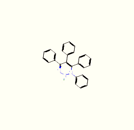 ClN1N=C(c2ccccc2)C(c2ccccc2)=C(c2ccccc2)N1c1ccccc1